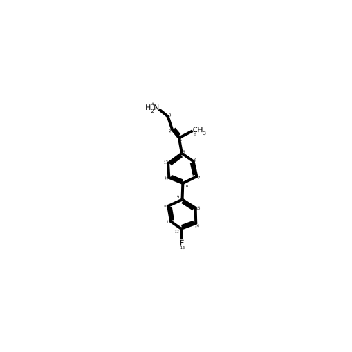 CC(=CCN)c1ccc(-c2ccc(F)cc2)cc1